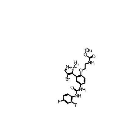 Cn1ncc(Br)c1-c1cc(NC(=O)Nc2ccc(F)cc2F)ccc1OCCNC(=O)OC(C)(C)C